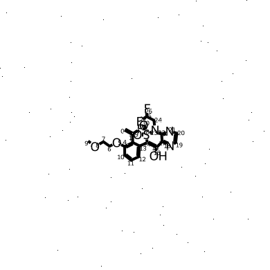 C=C(F)c1c(OCCOC)cccc1C1=C(O)c2nccnc2N(CC(F)F)S1(=O)=O